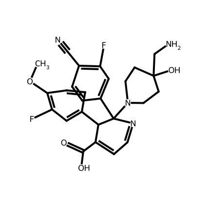 COc1ccc(C2C(C(=O)O)=CC=NC2(c2ccc(C#N)c(F)c2)N2CCC(O)(CN)CC2)cc1F